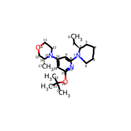 CC[C@H]1CCCCN1c1cc(N2CCOC[C@H]2C)cc(OC(C)(C)C)n1